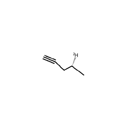 [2H][C@H](C)CC#C